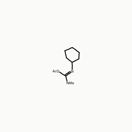 CNC(=NC1CCCCC1)OC(C)=O